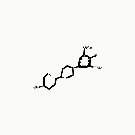 CCC[C@H]1CC[C@H]([C@H]2CC[C@H](c3cc(OC)c(F)c(OC)c3)CC2)CC1